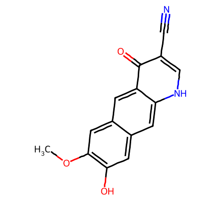 COc1cc2cc3c(=O)c(C#N)c[nH]c3cc2cc1O